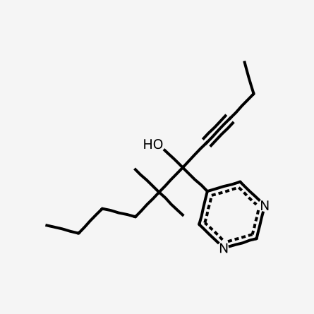 CCC#CC(O)(c1cncnc1)C(C)(C)CCCC